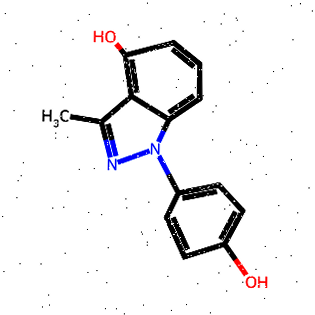 Cc1nn(-c2ccc(O)cc2)c2cccc(O)c12